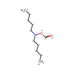 CCCCCN(CCCCC)OC=O